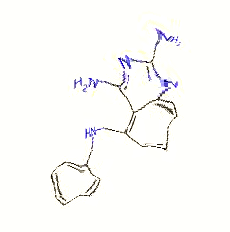 Nc1nc(N)c2c(Nc3ccccc3)cccc2n1